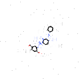 COC(=O)c1cc(NC(C)=O)c(C(=O)OC)cc1/N=N/c1cc(S(=O)(=O)O)c(N)c(/N=N/c2ccc(S(=O)(=O)O)cc2C(F)(F)F)c1N